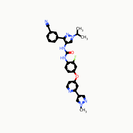 CC(C)n1cc(NC(=O)Nc2ccc(Oc3ccnc(-c4cnn(C)c4)c3)cc2F)c(-c2cccc(C#N)c2)n1